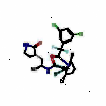 N#C[C@@H](C[C@@H]1CCNC1=O)NC(=O)[C@@H]1[C@H]2CC[C@H](CC2(F)F)N1C(=O)C(F)(F)c1cc(Cl)cc(Cl)c1